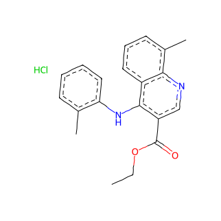 CCOC(=O)c1cnc2c(C)cccc2c1Nc1ccccc1C.Cl